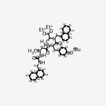 CCOC(OCC)C(C)N(Cc1cccc2ccccc12)C(=O)C(Cc1ccc(OC(C)(C)C)cc1)NC(=O)CN(C)NC(=O)NCc1cccc2ccccc12